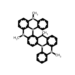 CC1c2cccc3c2B(c2ccccc2N3C)c2ccc3c(c21)B1c2ccccc2N(C)c2cccc(c21)N3C